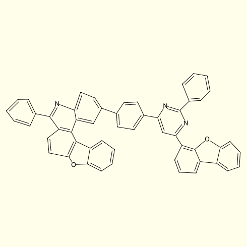 c1ccc(-c2nc(-c3ccc(-c4ccc5nc(-c6ccccc6)c6ccc7oc8ccccc8c7c6c5c4)cc3)cc(-c3cccc4c3oc3ccccc34)n2)cc1